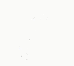 CC(C)c1ccc2c(c1)/C=N\CCN(CCNCC/N=C\c1ccccc1O)C(C)O2